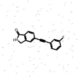 O=C1NCc2cc(C#Cc3cccc(F)c3)ccc21